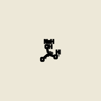 I.[NaH].[O-][I+2]([O-])O